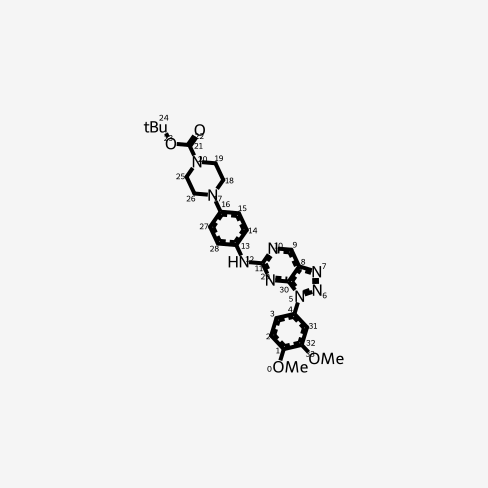 COc1ccc(-n2nnc3cnc(Nc4ccc(N5CCN(C(=O)OC(C)(C)C)CC5)cc4)nc32)cc1OC